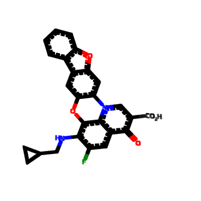 O=C(O)c1cn2c3c(c(NCC4CC4)c(F)cc3c1=O)Oc1cc3c(cc1-2)oc1ccccc13